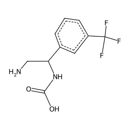 NCC(NC(=O)O)c1cccc(C(F)(F)F)c1